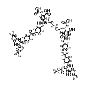 CC(C)(C)OC(=O)N=C(NC(=O)OC(C)(C)C)Nc1ccc(C(=O)Oc2ccc(CNS(=O)(=O)N(CCOCCOCCN(C(CCC(=O)O)C(=O)O)S(=O)(=O)NCc3ccc(OC(=O)c4ccc(NC(=NC(=O)OC(C)(C)C)NC(=O)OC(C)(C)C)cc4)cc3)C(CCC(=O)O)C(=O)O)cc2)cc1